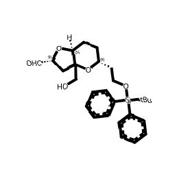 CC(C)(C)[Si](OCC[C@H]1CC[C@@H]2O[C@@H](C=O)CC2(CO)O1)(c1ccccc1)c1ccccc1